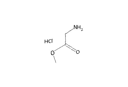 COC(=O)CN.Cl